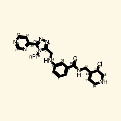 CCCn1c(CNc2cccc(C(=O)NCC3CCNCC3Cl)c2)nnc1-c1ccncn1